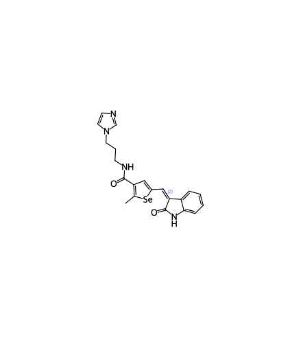 Cc1[se]c(/C=C2\C(=O)Nc3ccccc32)cc1C(=O)NCCCn1ccnc1